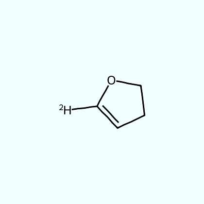 [2H]C1=CCCO1